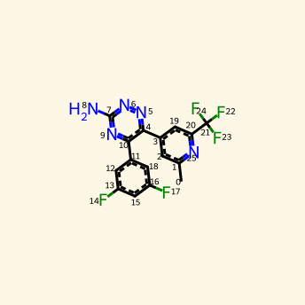 Cc1cc(-c2nnc(N)nc2-c2cc(F)cc(F)c2)cc(C(F)(F)F)n1